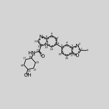 Cc1nc2cc(-c3ccc4ncc(C(=O)NC5CCC(O)CC5)n4c3)ccc2o1